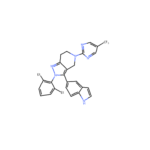 CCc1cccc(CC)c1-n1nc2c(c1-c1ccc3[nH]ccc3c1)CN(c1ncc(C(F)(F)F)cn1)CC2